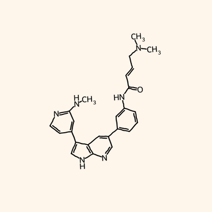 CNc1cc(-c2c[nH]c3ncc(-c4cccc(NC(=O)C=CCN(C)C)c4)cc23)ccn1